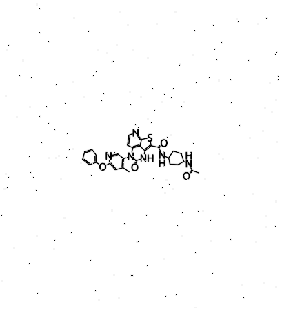 CC(=O)NC1CCC(NC(=O)c2sc3nccc4c3c2NC(=O)N4c2cnc(Oc3ccccc3)cc2C)CC1